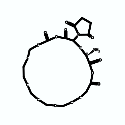 N[C@H]1CC(N2C(=O)CCC2=O)C(=O)OC(=O)CCCCCCCCCCCCCCC(=O)OC1=O